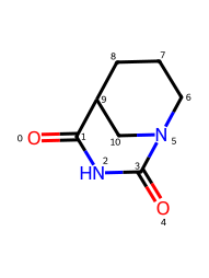 O=C1NC(=O)N2CCCC1C2